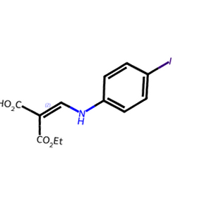 CCOC(=O)/C(=C\Nc1ccc(I)cc1)C(=O)O